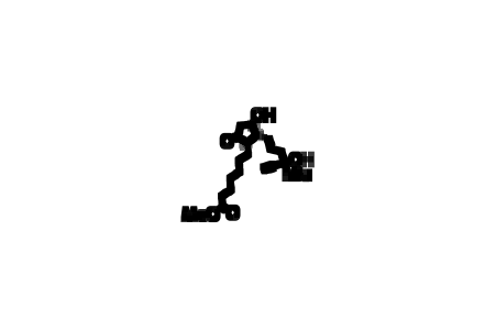 C#CC(O)(CC=C[C@H]1[C@H](O)CC(=O)[C@@H]1CCCCCCC(=O)OC)CCCC